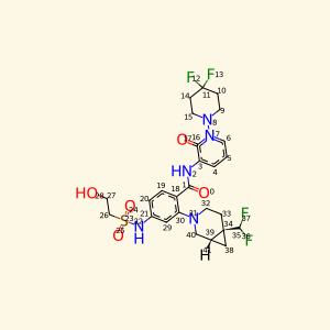 O=C(Nc1cccn(N2CCC(F)(F)CC2)c1=O)c1ccc(NS(=O)(=O)CCO)cc1N1CC[C@]2(C(F)F)C[C@@H]2C1